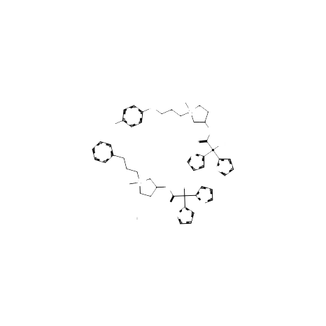 C[N+]1(CCCOc2ccc(F)cc2)CCC(OC(=O)C(O)(c2cccs2)c2cccs2)C1.C[N+]1(CCCc2ccccc2)CCC(OC(=O)C(O)(c2cccs2)c2cccs2)C1.[Br-].[Cl-]